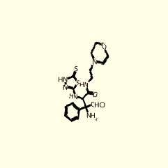 NC(C=O)(c1ccccc1)C(Nc1n[nH]c(=S)s1)C(=O)NCCN1CCOCC1